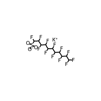 O=S(=O)([O-])C(F)C(F)C(F)C(F)C(F)C(F)C(F)C(F)C(F)C(F)C(F)F.[K+]